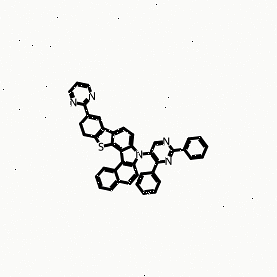 C1=C(c2ncccn2)CCc2sc3c(ccc4c3c3c5ccccc5ccc3n4-c3cnc(-c4ccccc4)nc3-c3ccccc3)c21